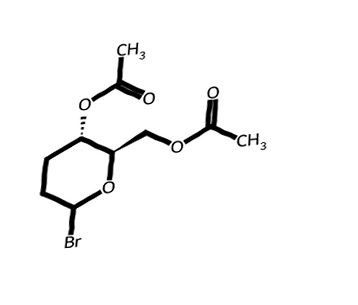 CC(=O)OC[C@H]1OC(Br)CC[C@@H]1OC(C)=O